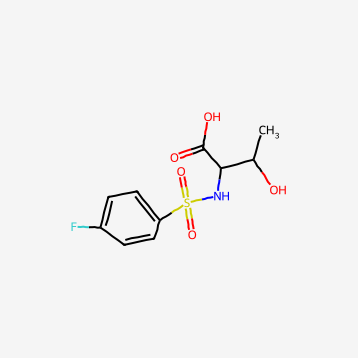 CC(O)C(NS(=O)(=O)c1ccc(F)cc1)C(=O)O